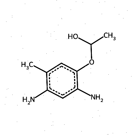 Cc1cc(OC(C)O)c(N)cc1N